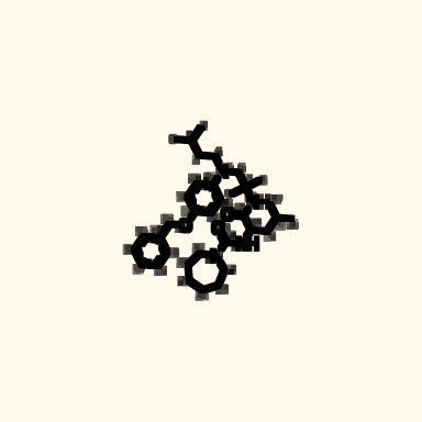 CC(C)CCN(CC(C)(C)NC(=O)C(CC(C)C)NC(=O)N1CCCCCC1)c1ccc(OCc2ccccc2)cc1